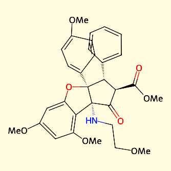 COCCN[C@@]12C(=O)[C@H](C(=O)OC)[C@@H](c3ccccc3)[C@]1(c1ccc(OC)cc1)Oc1cc(OC)cc(OC)c12